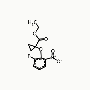 CCOC(=O)C1(Oc2c(F)cccc2[N+](=O)[O-])CC1